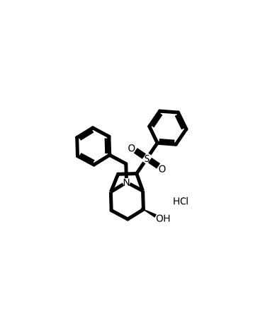 Cl.O=S(=O)(c1ccccc1)C1CC2CC[C@H](O)C1N2Cc1ccccc1